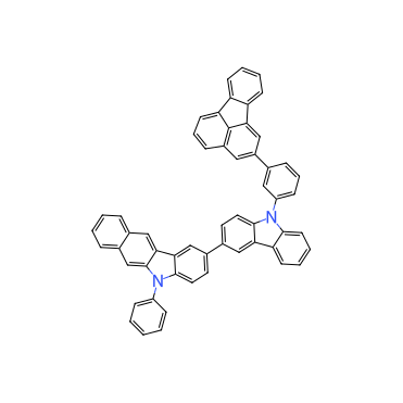 c1ccc(-n2c3ccc(-c4ccc5c(c4)c4ccccc4n5-c4cccc(-c5cc6c7c(cccc7c5)-c5ccccc5-6)c4)cc3c3cc4ccccc4cc32)cc1